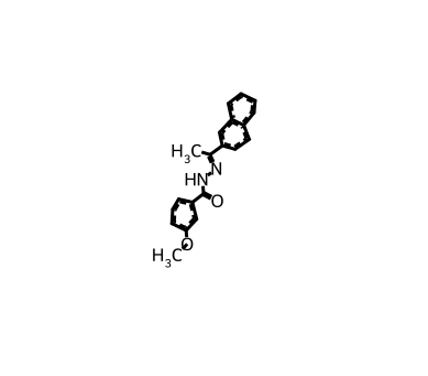 COc1cccc(C(=O)NN=C(C)c2ccc3ccccc3c2)c1